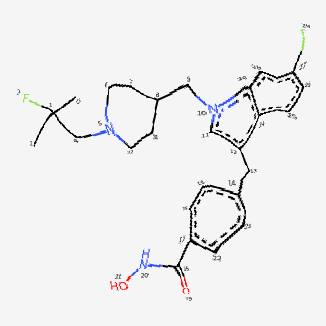 CC(C)(F)CN1CCC(Cn2cc(Cc3ccc(C(=O)NO)cc3)c3ccc(F)cc32)CC1